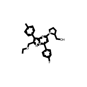 CCOCc1nn2c(-c3ccc(F)cc3)cc(N3CCCC3CO)nc2c1-c1ccc(C)cc1